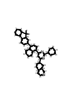 CC1(C)c2ccccc2-c2ccc(-c3ccc(-c4cc(-c5ccc6ccncc6c5)nc(-c5ccccc5)n4)c4ccccc34)cc21